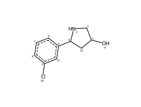 OC1CNC(c2cccc(Cl)c2)C1